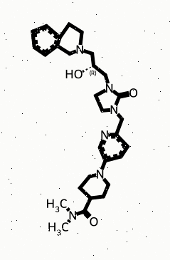 CN(C)C(=O)C1CCN(c2ccc(CN3CCN(C[C@H](O)CN4CCc5ccccc5C4)C3=O)nc2)CC1